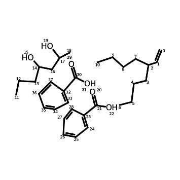 C=CC(CCCC)CCCC.CCCC(O)CC(C)O.O=C(O)c1ccccc1.O=C(O)c1ccccc1